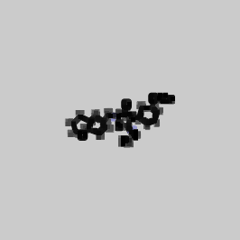 COc1cccc(N2C(=O)/C(=C/c3ccc4c(c3)CCCO4)S/C2=N\C(C)C)c1